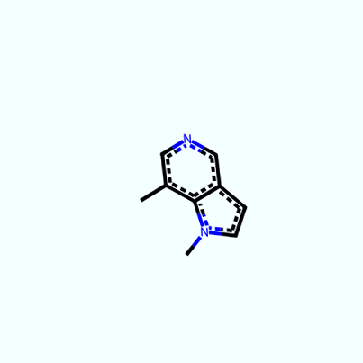 Cc1cncc2ccn(C)c12